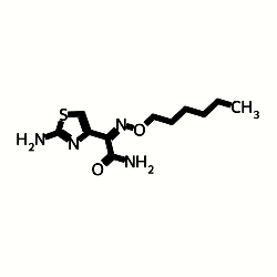 CCCCCCON=C(C(N)=O)c1csc(N)n1